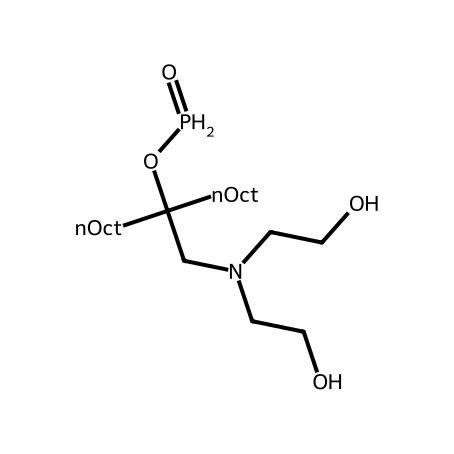 CCCCCCCCC(CCCCCCCC)(CN(CCO)CCO)O[PH2]=O